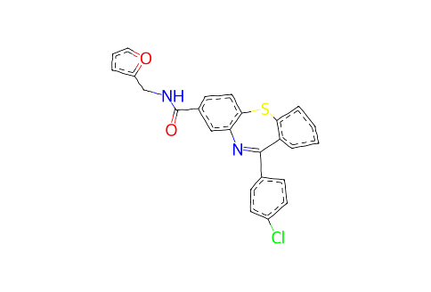 O=C(NCc1ccco1)c1ccc2c(c1)N=C(c1ccc(Cl)cc1)c1ccccc1S2